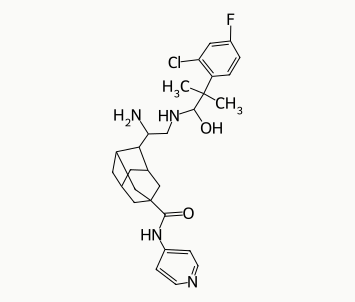 CC(C)(c1ccc(F)cc1Cl)C(O)NCC(N)C1C2CC3CC1CC(C(=O)Nc1ccncc1)(C3)C2